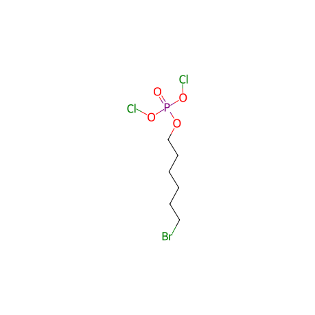 O=P(OCl)(OCl)OCCCCCCBr